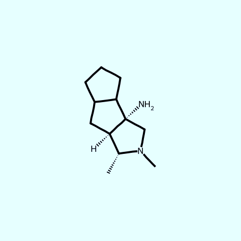 C[C@@H]1[C@H]2CC3CCCC3[C@@]2(N)CN1C